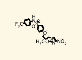 C[C@]1(COc2ccc(S(=O)(=O)Nc3ccc(C(F)(F)F)cc3)cc2)Cn2cc([N+](=O)[O-])nc2O1